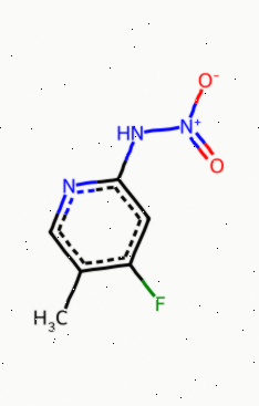 Cc1cnc(N[N+](=O)[O-])cc1F